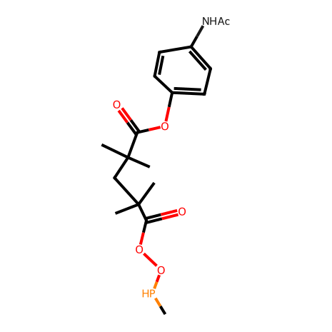 CPOOC(=O)C(C)(C)CC(C)(C)C(=O)Oc1ccc(NC(C)=O)cc1